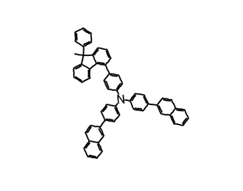 CC1(c2ccccc2)c2ccccc2-c2c(-c3ccc(N(c4ccc(-c5ccc6ccccc6c5)cc4)c4ccc(-c5ccc6ccccc6c5)cc4)cc3)cccc21